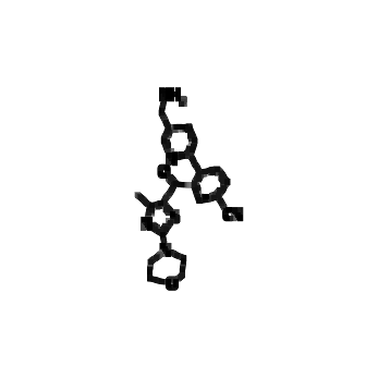 Cc1nc(N2CCOCC2)sc1C(=O)c1cc(C#N)ccc1-c1ccc(CN)cn1